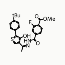 COC(=O)c1ccc(C(=O)N/N=C(/C)c2csc(-c3ccc(C(C)(C)C)cc3)c2O)cc1F